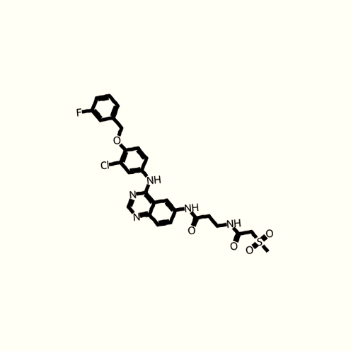 CS(=O)(=O)CC(=O)NCCC(=O)Nc1ccc2ncnc(Nc3ccc(OCc4cccc(F)c4)c(Cl)c3)c2c1